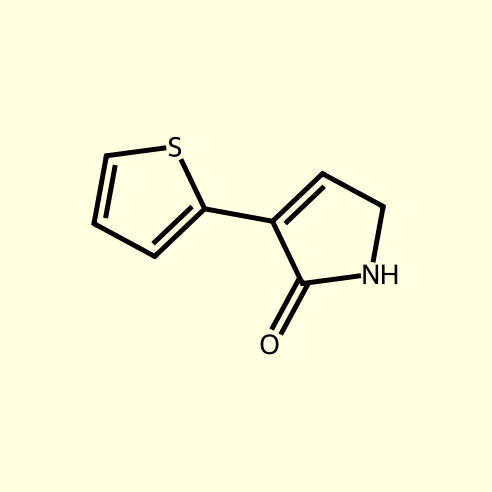 O=C1NCC=C1c1cccs1